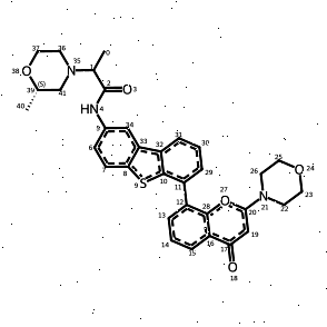 CC(C(=O)Nc1ccc2sc3c(-c4cccc5c(=O)cc(N6CCOCC6)oc45)cccc3c2c1)N1CCO[C@@H](C)C1